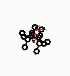 COc1cccc(P(=O)(c2cc(-c3ccccc3)cc(-c3ccccc3)c2)c2cc(-c3ccccc3)cc(-c3ccccc3)c2)c1-c1c(OC)cccc1P(=O)(c1cc(-c2ccccc2)cc(-c2ccccc2)c1)c1cc(-c2ccccc2)cc(-c2ccccc2)c1